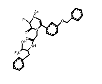 CC(=O)N1C=C(c2cccc(OCc3ccccc3)c2)N(CC(=O)NC(Cc2ccccc2)C(O)C(F)(F)F)C(=O)[C@H]1C(C)C